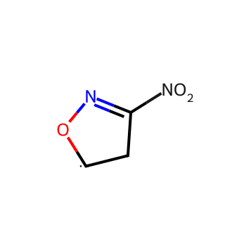 O=[N+]([O-])C1=NO[CH]C1